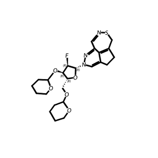 F[C@@H]1[C@H](OC2CCCCO2)[C@@H](COC2CCCCO2)O[C@H]1N1C=C2CCC3=C2C(=N1)C=NSC3